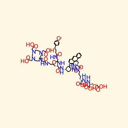 COc1ccc(CCCC(=O)NCC(=O)N[C@@H](CCCCNC(=O)CN2CCN(CC(=O)O)CCN(CC(=O)O)CCN(CC(=O)O)CC2)C(=O)NC[C@H]2CC[C@H](C(=O)N[C@@H](Cc3c4ccccc4cc4ccccc34)C(=O)NCCCC[C@H](NC(=O)N[C@@H](COCC(=O)O)C(=O)O)C(=O)O)CC2)cc1